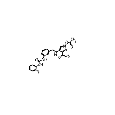 NC(=O)c1nn(OC(=O)C(F)(F)F)cc1NCc1cccc(NC(=O)Nc2ccccc2F)c1